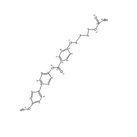 CCCOc1ccc(-c2ccc(OC(=O)c3ccc(OCCCCOC(=O)C(C)CC)cc3)cc2)cc1